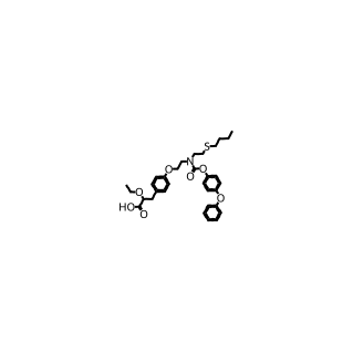 CCCCSCCN(CCOc1ccc(CC(OCC)C(=O)O)cc1)C(=O)Oc1ccc(Oc2ccccc2)cc1